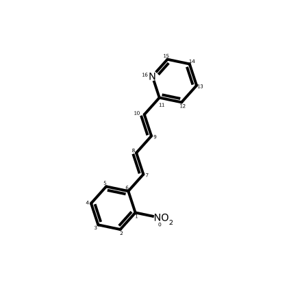 O=[N+]([O-])c1ccccc1/C=C/C=C/c1ccccn1